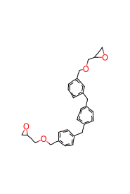 c1cc(COCC2CO2)cc(Cc2ccc(Cc3ccc(COCC4CO4)cc3)cc2)c1